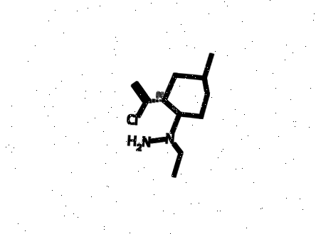 C=C(Cl)[C@@H]1CC(C)CCC1N(N)CC